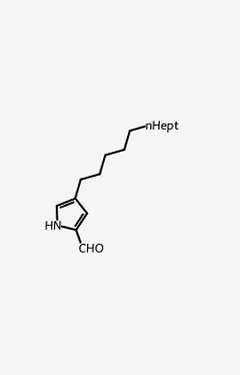 CCCCCCCCCCCCc1c[nH]c(C=O)c1